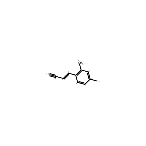 Cc1cc(F)ccc1C=CC#N